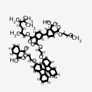 COCCOC(=O)c1ccc(-c2ccc(C(=O)OCC(C)CCC(C)C(C)C)c(C(=O)OCCOc3ccc4c(c3)C3(c5ccccc5-4)c4ccccc4-c4ccc(OCCOC(=O)C5CC=CCC5C(=O)O)cc43)c2)cc1C(=O)O